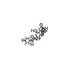 O=C1CN(c2c(O)cc(NC(=O)Nc3ccc(F)cc3)cc2F)S(=O)(=O)N1